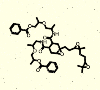 CC(COC(C)COC(=O)c1ccccc1)NC(=O)C1CC2(CCC3OC3(C)CCC3OC3(C)C)OC2CC1C(=O)NCC(C)OCC(C)OC(=O)c1ccccc1